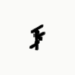 CCCCCCCCCC(CCCCCC)COC(=O)CCCCCC(CCCCCC(=O)OCC(CCCCCC)CCCCCCCC)N(CCCN(C)C)C(O)CCCCCCCC